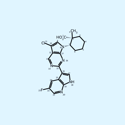 C[C@@]1(C(=O)O)CCCC[C@@H]1n1cc(Cl)c2cnc(-c3c[nH]c4ncc(F)cc34)nc21